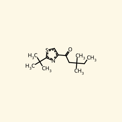 CCC(C)(C)CC(=O)c1csc(C(C)(C)C)n1